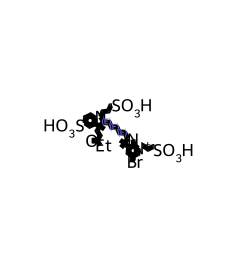 CCC(=O)CCC1(C)\C(=C/C=C/C=C/C2=Nc3c(cc(Br)c[n+]3CCCS(=O)(=O)O)C2(C)C)N(CCCS(=O)(=O)O)c2ccc(S(=O)(=O)O)cc21